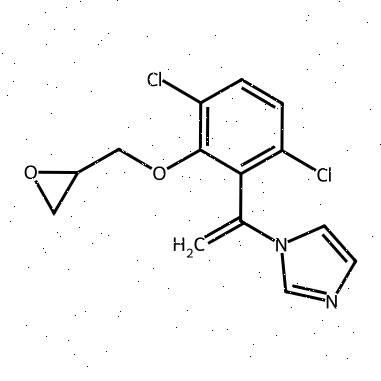 C=C(c1c(Cl)ccc(Cl)c1OCC1CO1)n1ccnc1